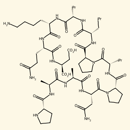 CC(C)C[C@H](NC(=O)[C@@H]1CCCN1C(=O)[C@@H](NC(=O)[C@@H]1CCCN1C(=O)[C@H](CC(N)=O)NC(=O)[C@H](C)NC(=O)[C@H](C)NC(=O)[C@@H]1CCCN1)C(C)C)C(=O)N[C@H](C(=O)N[C@@H](CCCCN)C(=O)N[C@@H](CCC(N)=O)C(=O)N[C@@H](CC(=O)O)C(=O)O)C(C)C